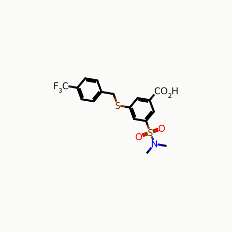 CN(C)S(=O)(=O)c1cc(SCc2ccc(C(F)(F)F)cc2)cc(C(=O)O)c1